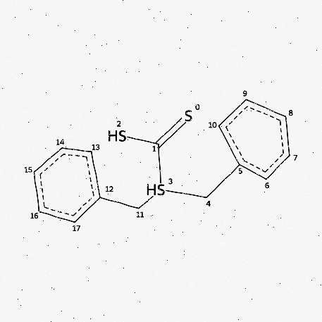 S=C(S)[SH](Cc1ccccc1)Cc1ccccc1